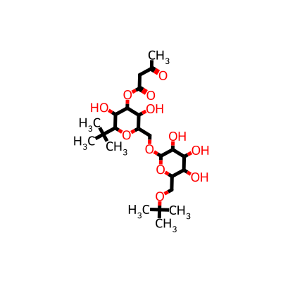 CC(=O)CC(=O)OC1C(O)C(COC2OC(COC(C)(C)C)C(O)C(O)C2O)OC(C(C)(C)C)C1O